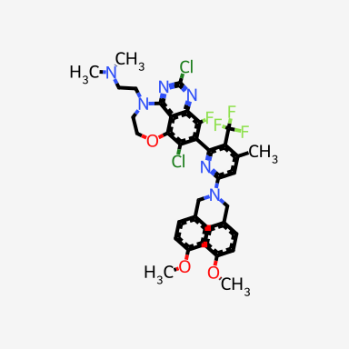 COc1ccc(CN(Cc2ccc(OC)cc2)c2cc(C)c(C(F)(F)F)c(-c3c(Cl)c4c5c(nc(Cl)nc5c3F)N(CCN(C)C)CCO4)n2)cc1